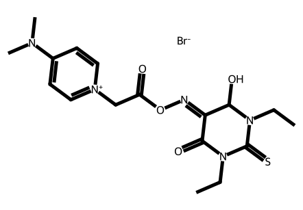 CCN1C(=O)/C(=N\OC(=O)C[n+]2ccc(N(C)C)cc2)C(O)N(CC)C1=S.[Br-]